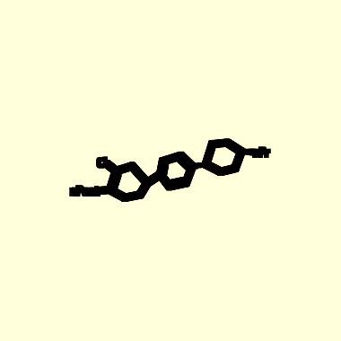 CCCCCC1=C(Cl)CC(c2ccc([C@H]3CC[C@H](CCC)CC3)cc2)CC1